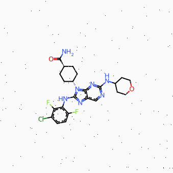 NC(=O)[C@H]1CC[C@H](n2c(Nc3c(F)ccc(Cl)c3F)nc3cnc(NC4CCOCC4)nc32)CC1